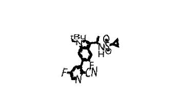 CC(NS(=O)(=O)C1CC1)c1cn(CC(C)(C)C)c2cc(-c3cc(F)cnc3C#N)c(F)cc12